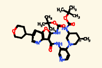 C[C@@H]1CC(NC(=O)OC(C)(C)C)CN(c2ccncc2NC(=O)c2c(NC(=O)OC(C)(C)C)oc3cc(C4CCOCC4)cnc23)C1